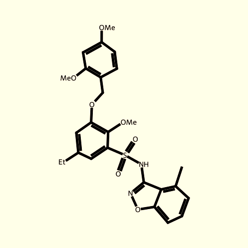 CCc1cc(OCc2ccc(OC)cc2OC)c(OC)c(S(=O)(=O)Nc2noc3cccc(C)c23)c1